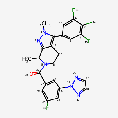 C[C@H]1c2nn(C)c(-c3cc(F)c(F)c(F)c3)c2CCN1C(=O)c1cc(F)cc(-n2nccn2)c1